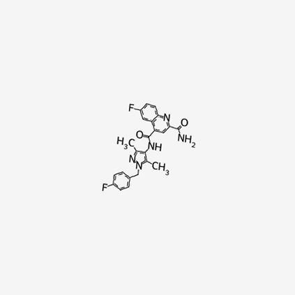 Cc1nn(Cc2ccc(F)cc2)c(C)c1NC(=O)c1cc(C(N)=O)nc2ccc(F)cc12